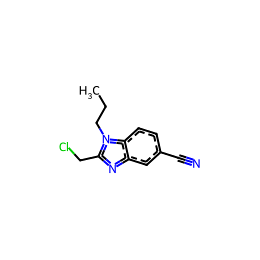 CCCn1c(CCl)nc2cc(C#N)ccc21